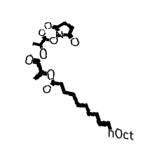 CCCCCCCCC=CCCCCCCCC(=O)OC(C)C(=O)OC(C)C(=O)ON1C(=O)CCC1=O